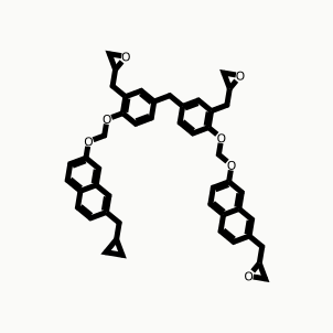 c1cc(OCOc2ccc3ccc(CC4CC4)cc3c2)c(CC2CO2)cc1Cc1ccc(OCOc2ccc3ccc(CC4CO4)cc3c2)c(CC2CO2)c1